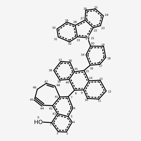 Oc1cccc2cc(-c3c4ccccc4c(-c4cccc(-n5c6ccccc6c6ccccc65)c4)c4ccccc34)c3c(c12)C#CCC=C3